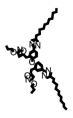 CCCCCCCCCCCc1cnc(-c2ccc(Oc3ccc(-c4ncc(CCCCCCCCCCC)cn4)cc3Cc3cc(OCCC)no3)c(Cc3cc(OCCC)no3)c2)nc1